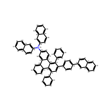 c1ccc(-c2cc(-c3ccc(-c4ccc5ccccc5c4)cc3)c(-c3ccccc3)c3c4ccc(N(c5ccc6ccccc6c5)c5ccc6ccccc6c5)cc4c4ccccc4c23)cc1